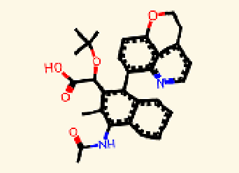 CC(=O)Nc1c(C)c(C(OC(C)(C)C)C(=O)O)c(-c2ccc3c4c(ccnc24)CCO3)c2ccccc12